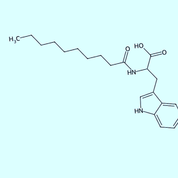 CCCCCCCCCC(=O)NC(Cc1c[nH]c2ccccc12)C(=O)O